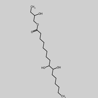 CCCCCCC(O)C(O)CCCCCCCC(=O)OCC(O)CC